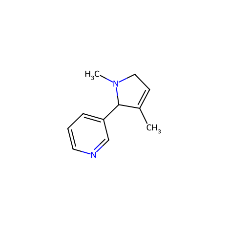 CC1=CCN(C)C1c1cccnc1